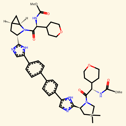 COC(=O)N[C@H](C(=O)N1C[Si](C)(C)C[C@H]1c1ncc(-c2ccc(-c3ccc(-c4cnc([C@@H]5C[C@H]6C[C@H]6N5C(=O)[C@@H](NC(=O)OC)C5CCOCC5)[nH]4)cc3)cc2)[nH]1)C1CCOCC1